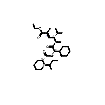 CCOC(=O)/C(C)=C/[C@H](C(C)C)N(C)C(=O)[C@@H](NC(=O)[C@H]1CCCCN1C(C)CC)C1CCCCC1